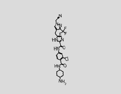 N#CCn1cc(Cc2cnc(C(=O)Nc3ccc(C(=O)NC4CCC(N)CC4)c(Cl)c3)[nH]2)c(C(F)(F)F)n1